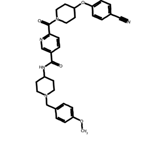 COc1ccc(CN2CCC(NC(=O)c3ccc(C(=O)N4CCC(Oc5ccc(C#N)cc5)CC4)nc3)CC2)cc1